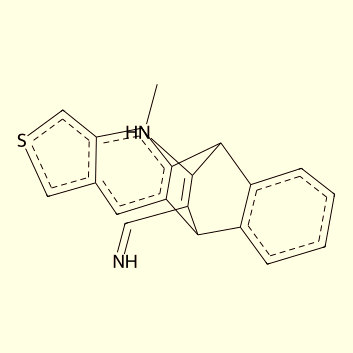 CNC1=C(C=N)C2c3ccccc3C1c1cc3cscc3cc12